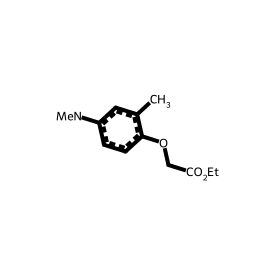 CCOC(=O)COc1ccc(NC)cc1C